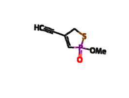 C#CC1=CP(=O)(OC)SC1